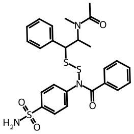 CC(=O)N(C)C(C)C(SSN(C(=O)c1ccccc1)c1ccc(S(N)(=O)=O)cc1)c1ccccc1